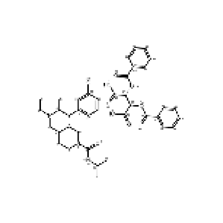 CCN(CC1CCN(C(=O)NC(C)C)CC1)C(C)Cc1cccc(Cl)c1.O=C(O[C@@H](C(=O)O)[C@@H](OC(=O)c1ccccc1)C(=O)O)c1ccccc1